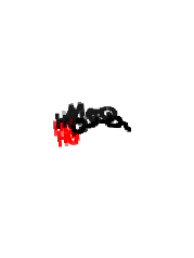 CC=Cc1ccc(C(=Cc2ccc(O)c(O)c2)C(=O)O)c(OC)c1